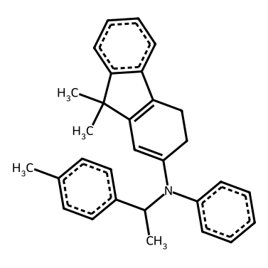 Cc1ccc(C(C)N(C2=CC3=C(CC2)c2ccccc2C3(C)C)c2ccccc2)cc1